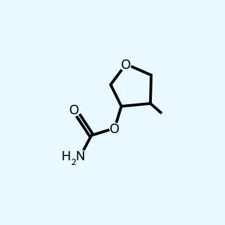 CC1COCC1OC(N)=O